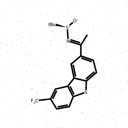 CC(=N[S@+]([O-])C(C)(C)C)c1ccc2sc3ccc(C(F)(F)F)cc3c2c1